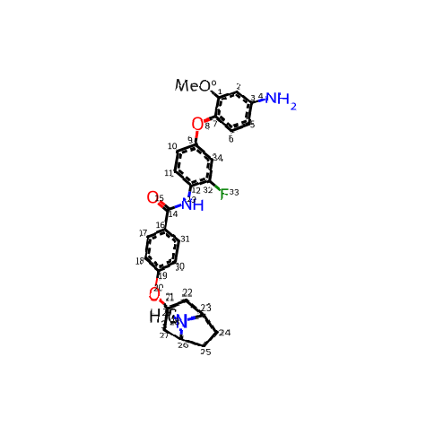 COc1cc(N)ccc1Oc1ccc(NC(=O)c2ccc(OC3CC4CCC(C3)N4C)cc2)c(F)c1